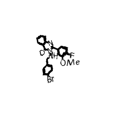 COc1cc(-c2nc3ccccc3c(=O)n2NCc2ccc(Br)cc2)ccc1F